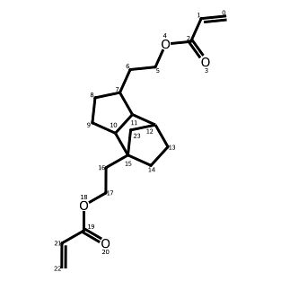 C=CC(=O)OCCC1CCC2C1C1CCC2(CCOC(=O)C=C)C1